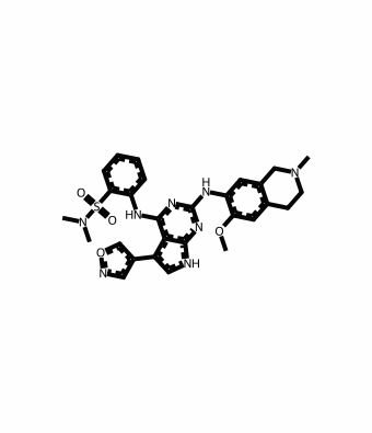 COc1cc2c(cc1Nc1nc(Nc3ccccc3S(=O)(=O)N(C)C)c3c(-c4cnoc4)c[nH]c3n1)CN(C)CC2